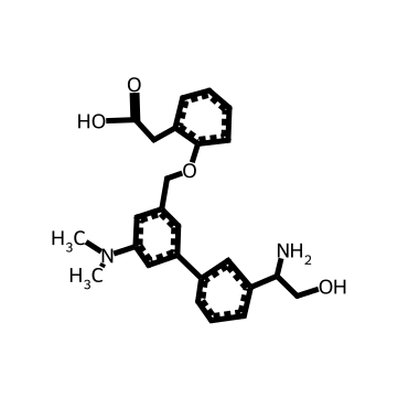 CN(C)c1cc(COc2ccccc2CC(=O)O)cc(-c2cccc(C(N)CO)c2)c1